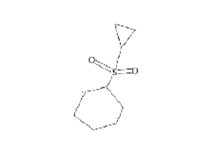 O=S(=O)(C1[CH]CCCC1)C1CC1